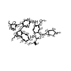 C=C(F)C(=O)Nc1cc(Nc2ncc(-c3nnc(C)o3)c(-c3cn(C)c4ccccc34)n2)c(OC)cc1N(C)C1C2CN(C)CC21